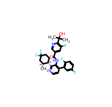 C[C@@H]1CC(F)(F)CC[C@@H]1c1nccc(-c2cc(F)ccc2F)c1NC(=O)c1cnc(C(C)(C)O)c(F)c1